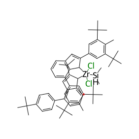 Cc1c(C(C)(C)C)cc(C2=Cc3cccc(-c4cc(C(C)(C)C)c(C)c(C(C)(C)C)c4)c3[CH]2[Zr]([Cl])([Cl])([CH]2C(C(C)C)=Cc3c(-c4ccc(C(C)(C)C)cc4)cccc32)[SiH](C)C)cc1C(C)(C)C